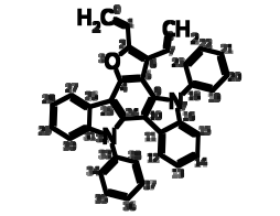 C=Cc1oc2c(c1C=C)c1c(c3ccccc3n1-c1ccccc1)c1c2c2ccccc2n1-c1ccccc1